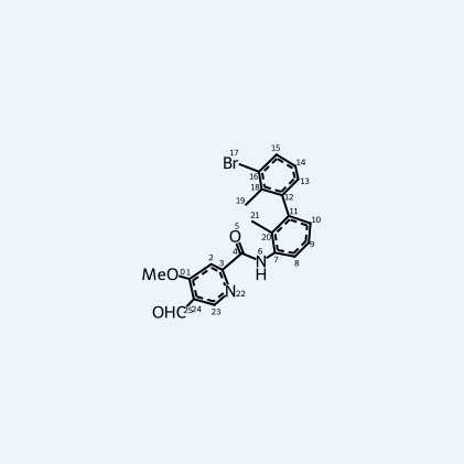 COc1cc(C(=O)Nc2cccc(-c3cccc(Br)c3C)c2C)ncc1C=O